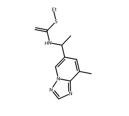 C=C(NC(C)c1cc(C)c2ncnn2c1)SCC